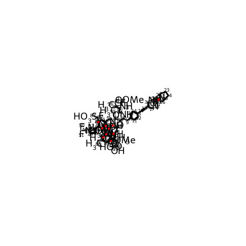 COC(=O)N[C@H](C(=O)N[C@@H](Cc1ccc(C#Cc2cnc(N3CC4CCC(C3)N4C3COC3)nc2)cc1)[C@H](CN(Cc1c(F)cc(-c2ccn(C(F)F)n2)cc1F)NC(=O)[C@@H](NC(=O)OC)C(C)(C)C(F)(F)F)OC(=O)CC(C)(C)c1c(CC(=O)NCCS(=O)(=O)O)cc(C)cc1OP(=O)(O)O)C(C)(C)C(F)(F)F